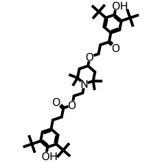 CC(C)(C)c1cc(CCC(=O)OCCN2C(C)(C)CC(OCCC(=O)c3cc(C(C)(C)C)c(O)c(C(C)(C)C)c3)CC2(C)C)cc(C(C)(C)C)c1O